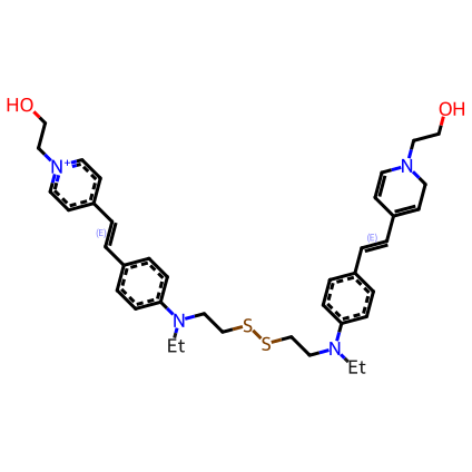 CCN(CCSSCCN(CC)c1ccc(/C=C/c2cc[n+](CCO)cc2)cc1)c1ccc(/C=C/C2=CCN(CCO)C=C2)cc1